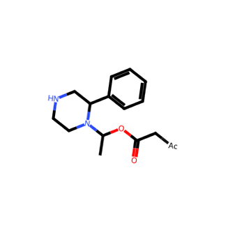 CC(=O)CC(=O)OC(C)N1CCNCC1c1ccccc1